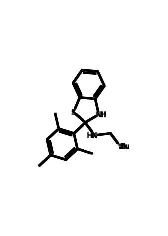 Cc1cc(C)c(C2(NCC(C)(C)C)Nc3ccccc3S2)c(C)c1